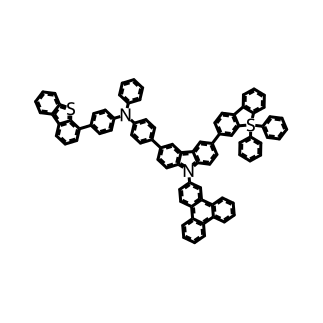 c1ccc(N(c2ccc(-c3ccc4c(c3)c3cc(-c5ccc6c(c5)S(c5ccccc5)(c5ccccc5)c5ccccc5-6)ccc3n4-c3ccc4c5ccccc5c5ccccc5c4c3)cc2)c2ccc(-c3cccc4c3sc3ccccc34)cc2)cc1